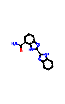 NC(=O)c1cccc2nc(-c3nc4ccccc4[nH]3)[nH]c12